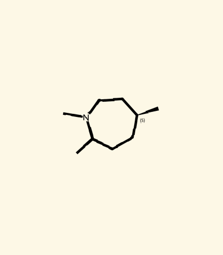 CC1CC[C@H](C)CCN1C